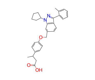 Cc1ccccc1-c1nn(C2CCCC2)c2cc(COc3ccc(C(C)CC(=O)O)cc3)ccc12